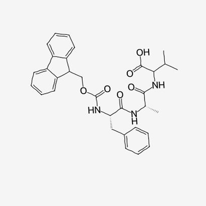 CC(C)C(NC(=O)[C@H](C)NC(=O)[C@H](Cc1ccccc1)NC(=O)OCC1c2ccccc2-c2ccccc21)C(=O)O